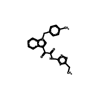 CCc1nnc(NC(=O)C(=O)c2cn(Cc3ccc(C)cc3)c3ccccc23)s1